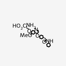 COc1cc2c(Oc3ccc(CC(=O)Nc4ccccc4)cc3)ccnc2cc1OCC[C@H](N)C(=O)O